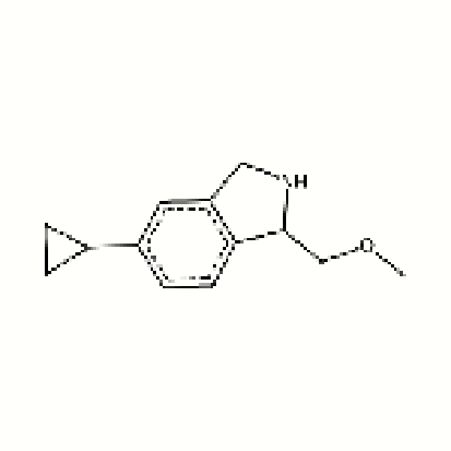 COCC1NCc2cc(C3CC3)ccc21